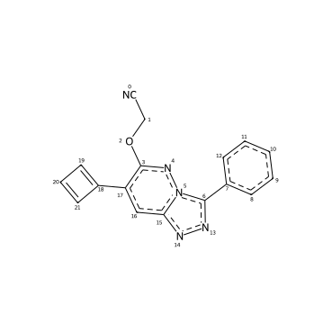 N#CCOc1nn2c(-c3ccccc3)nnc2cc1C1=CC=C1